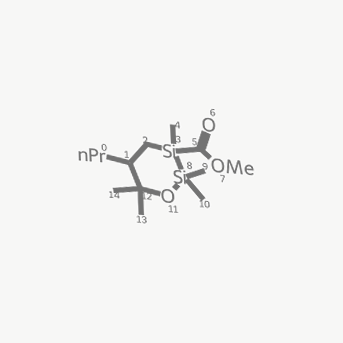 CCCC1C[Si](C)(C(=O)OC)[Si](C)(C)OC1(C)C